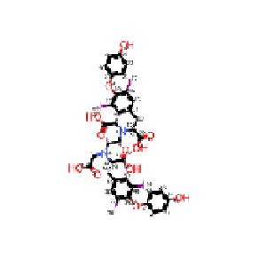 O=C(O)CN(CCN(CC(=O)O)[C@@H](Cc1cc(I)c(Oc2ccc(O)cc2)c(I)c1)C(=O)O)[C@@H](Cc1cc(I)c(Oc2ccc(O)cc2)c(I)c1)C(=O)O